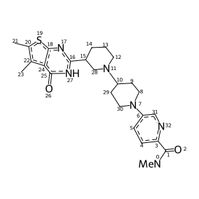 CNC(=O)c1ccc(N2CCC(N3CCCC(c4nc5sc(C)c(C)c5c(=O)[nH]4)C3)CC2)cn1